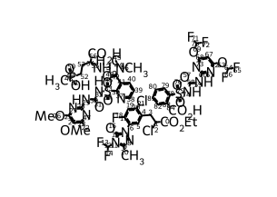 CCOC(=O)C(Cl)Cc1cc(-n2nc(C)n(C(F)F)c2=O)c(F)cc1Cl.COc1cc(OC)nc(NC(=O)NS(=O)(=O)c2ncccc2C(=O)N(C)C)n1.CP(=O)(O)CCC(N)C(=O)O.O=C(Nc1nc(OC(F)F)cc(OC(F)F)n1)NS(=O)(=O)c1ccccc1C(=O)O